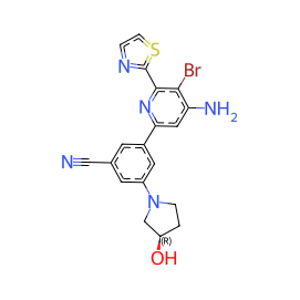 N#Cc1cc(-c2cc(N)c(Br)c(-c3nccs3)n2)cc(N2CC[C@@H](O)C2)c1